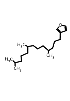 CC(C)CCCC(C)CCCC(C)CCCc1ccoc1